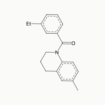 CCc1cccc(C(=O)N2CCCc3cc(C)ccc32)c1